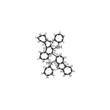 B1c2ccccc2-n2c3ccccc3c3c4ccccc4c(-c4ccc5c(sc6ccccc65)c4Nc4ccccc4)c1c32